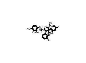 COc1cc(C#N)ccc1NC(=O)[C@@H]1N[C@@H](CC(C)(C)C)[C@@]2(C(=O)Nc3cc(F)cnc32)[C@H]1c1cccc(Cl)c1F